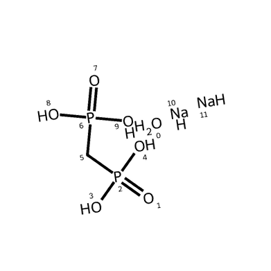 O.O=P(O)(O)CP(=O)(O)O.[NaH].[NaH]